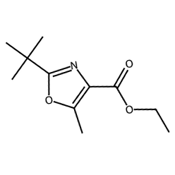 CCOC(=O)c1nc(C(C)(C)C)oc1C